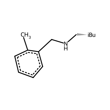 CC[C@@H](C)CNCc1ccccc1C